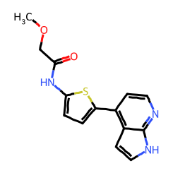 COCC(=O)Nc1ccc(-c2ccnc3[nH]ccc23)s1